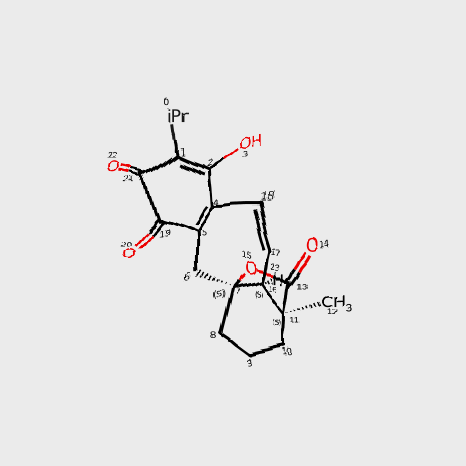 CC(C)C1=C(O)C2=C(C[C@]34CCC[C@](C)(C(=O)O3)[C@@H]4C=C2)C(=O)C1=O